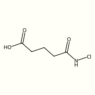 O=C(O)CCCC(=O)NCl